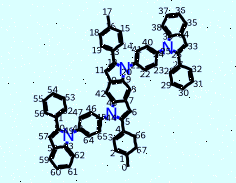 CC1=CC=C(c2cc3cc4c(cc(-c5ccc(C)cc5)n4-c4ccc(-n5c(-c6ccccc6)cc6ccccc65)cc4)cc3n2-c2ccc(-n3c(-c4ccccc4)cc4ccccc43)cc2)CC1